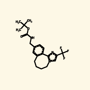 CC(C)(C)OC(=O)NCc1ccc2c(c1)CCCCn1cc(C(F)(F)F)nc1-2